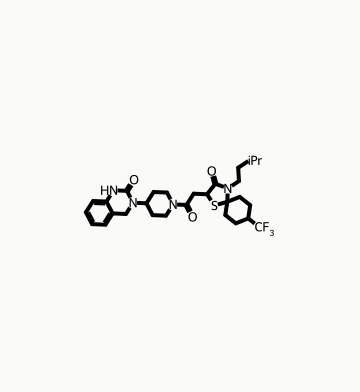 CC(C)CCN1C(=O)C(CC(=O)N2CCC(N3Cc4ccccc4NC3=O)CC2)SC12CCC(C(F)(F)F)CC2